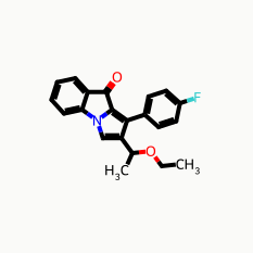 CCOC(C)c1cn2c(c1-c1ccc(F)cc1)C(=O)c1ccccc1-2